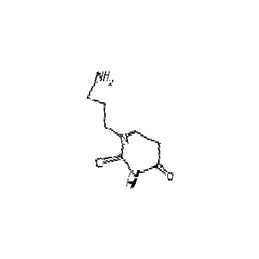 NCCCN1CCC(=O)NC1=O